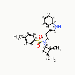 C=C1C[C@@H](N(CCc2c[nH]c3ccccc23)S(=O)(=O)c2ccc(C)cc2)C1=C